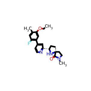 CCOc1cc(-c2ccnc([C@@H]3CC[C@@]4(CCN(C)C4=O)N3)c2)c(F)cc1C